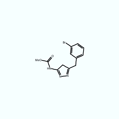 COC(=O)NC1=NN=C(Cc2cccc(Br)c2)C1